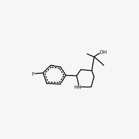 CC(C)(O)C1CCNC(c2ccc(F)cc2)C1